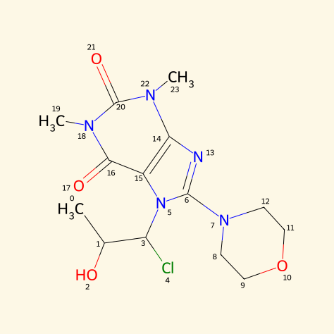 CC(O)C(Cl)n1c(N2CCOCC2)nc2c1c(=O)n(C)c(=O)n2C